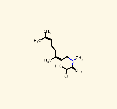 C=C(C(C)C)N(C)C/C=C(/C)CCC=C(C)C